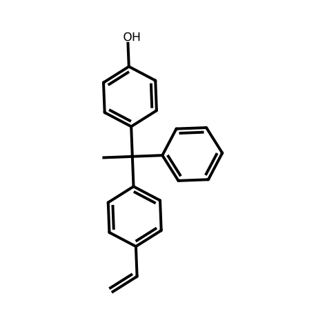 C=Cc1ccc(C(C)(c2ccccc2)c2ccc(O)cc2)cc1